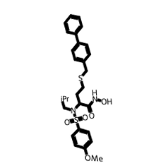 COc1ccc(S(=O)(=O)N(CC(C)C)C(CCSCc2ccc(-c3ccccc3)cc2)C(=O)NO)cc1